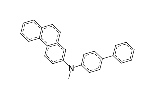 CN(c1ccc(-c2ccccc2)cc1)c1ccc2c(ccc3ccccc32)c1